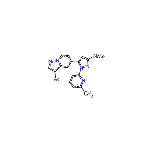 CNc1cc(-c2ccn3ncc(C(C)=O)c3c2)n(-c2cccc(C)n2)n1